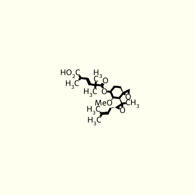 CO[C@@H]1C(OC(=O)C(C)(C)/C=C/C(C)C(=O)O)CC[C@]2(CO2)[C@H]1C1(C)O[C@@H]1CC=C(C)C